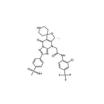 C[C@H]1OC2(CCNCC2)c2c1n(CC(=O)Nc1ccc(C(F)(F)F)cc1Cl)c1nc(-c3ccc(S(C)(=N)=O)cc3)nn1c2=O